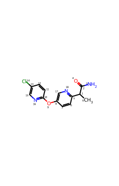 CC(C(N)=O)c1ccc(Oc2ccc(Cl)cn2)cn1